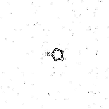 c1c[siH]co1